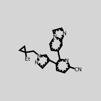 CCC1(Cn2cc(-c3ccc(C#N)nc3-c3ccn4ccnc4c3)cn2)CC1